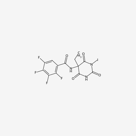 CCC1(NC(=O)c2cc(F)c(F)c(F)c2F)C(=O)NC(=O)N(I)C1=O